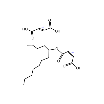 CCCCCCCC(CCCC)OC(=O)/C=C\C(=O)O.O=C(O)/C=C/C(=O)O